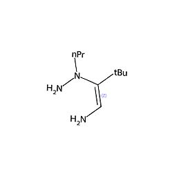 CCCN(N)/C(=C\N)C(C)(C)C